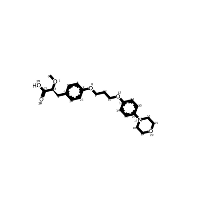 CO[C@@H](Cc1ccc(OCCCOc2ccc(N3CCOCC3)cc2)cc1)C(=O)O